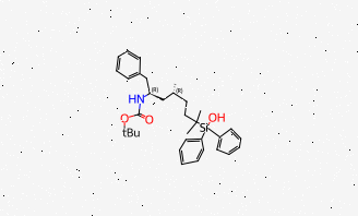 C[C@H](CCC(C)(C)[Si](O)(c1ccccc1)c1ccccc1)C[C@H](Cc1ccccc1)NC(=O)OC(C)(C)C